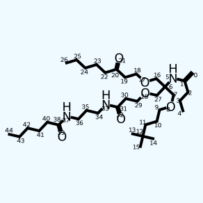 C=C(CCC)NC(COCCCC(C)(C)C)(COCCC(=O)CCCCC)COCCC(=O)NCCCNC(=O)CCCCC